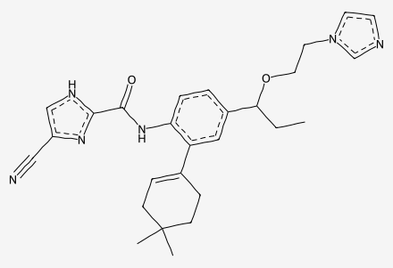 CCC(OCCn1ccnc1)c1ccc(NC(=O)c2nc(C#N)c[nH]2)c(C2=CCC(C)(C)CC2)c1